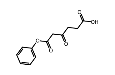 O=C(O)CCC(=O)CC(=O)Oc1ccccc1